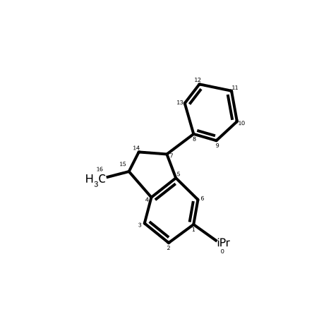 CC(C)c1ccc2c(c1)C(c1ccccc1)CC2C